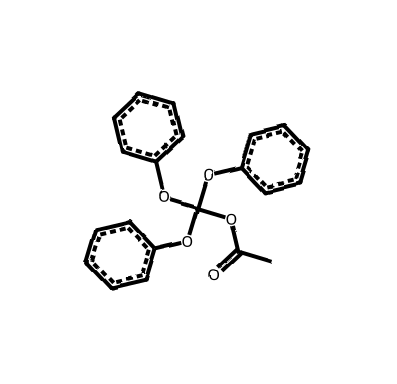 CC(=O)OC(Oc1ccccc1)(Oc1ccccc1)Oc1ccccc1